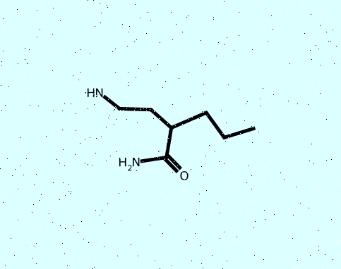 CCCC(CC[NH])C(N)=O